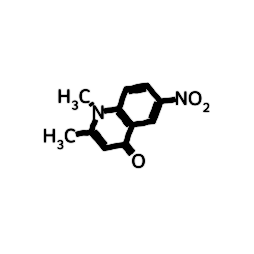 Cc1cc(=O)c2cc([N+](=O)[O-])ccc2n1C